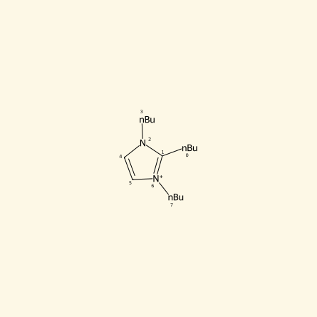 CCCCc1n(CCCC)cc[n+]1CCCC